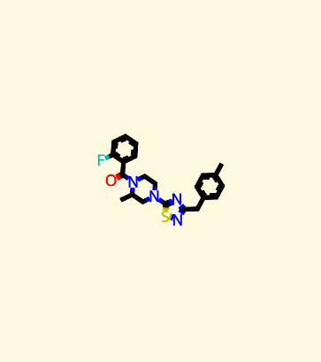 Cc1ccc(Cc2nsc(N3CCN(C(=O)c4ccccc4F)C(C)C3)n2)cc1